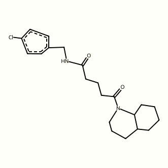 O=C(CCCC(=O)N1CCCC2CCCCC21)NCc1ccc(Cl)cc1